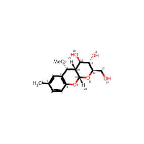 CO[C@H]1c2cc(C)ccc2O[C@H]2O[C@H](CO)[C@@H](O)[C@H](O)[C@H]21